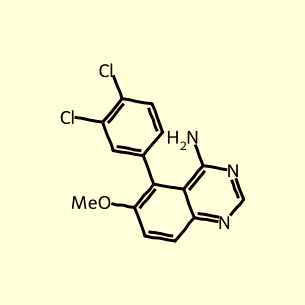 COc1ccc2ncnc(N)c2c1-c1ccc(Cl)c(Cl)c1